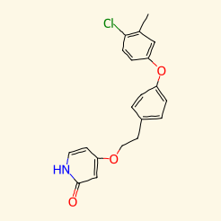 Cc1cc(Oc2ccc(CCOc3cc[nH]c(=O)c3)cc2)ccc1Cl